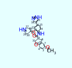 COc1ccc2c(c1)CC(C(=O)Nc1ccc(-c3cn[nH]c3)cc1OC1CCNCC1)CO2